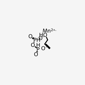 C=CCO.O=[PH]([O-])O[PH](=O)[O-].[Mn+2]